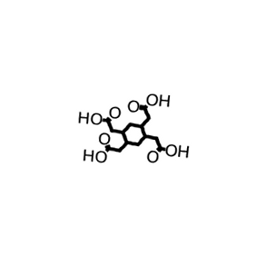 O=C(O)CC1CC(CC(=O)O)C(CC(=O)O)CC1CC(=O)O